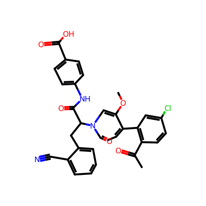 C/C=C(\C(=C/N(C=O)C(Cc1ccccc1C#N)C(=O)Nc1ccc(C(=O)O)cc1)OC)c1cc(Cl)ccc1C(C)=O